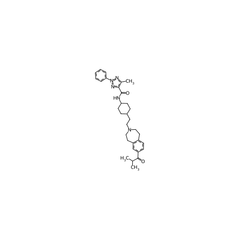 Cc1nn(-c2ccccc2)nc1C(=O)NC1CCC(CCN2CCc3ccc(C(=O)C(C)C)cc3CC2)CC1